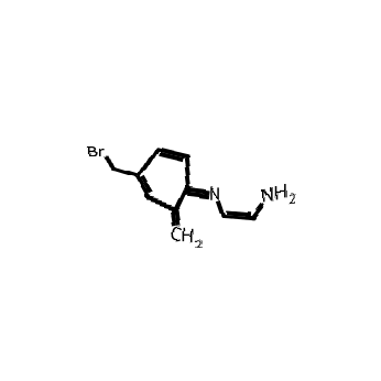 C=C1C=C(CBr)C=C/C1=N/C=C\N